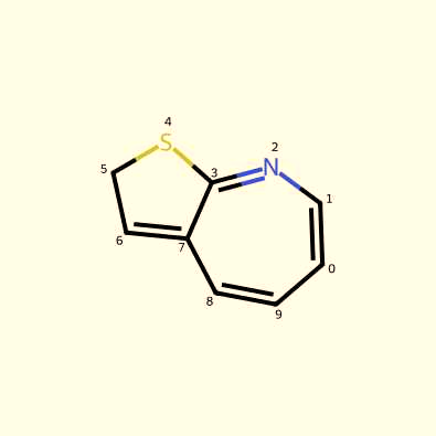 C1=CN=C2SCC=C2C=C1